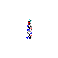 O=C(Nc1ccc([C@@H]2CNCCO2)nc1)c1ccc(OCC(F)(F)F)nc1